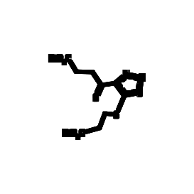 CCOC(=O)CCSc1snnc1C(=S)CCC(=O)OCC